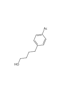 CC(=O)c1ccc(CCCCO)cc1